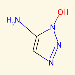 Nc1cnnn1O